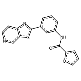 O=C(Nc1cccc(-c2nc3ccncc3s2)c1)c1ccco1